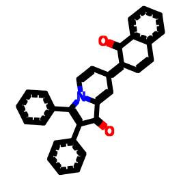 O=C1C2=CC(=C3C=Cc4ccccc4C3=O)C=CN2C(c2ccccc2)=C1c1ccccc1